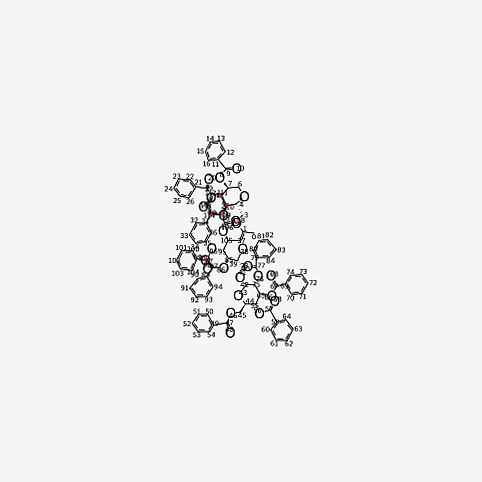 C/C(OC[C@H]1OC[C@H](OC(=O)c2ccccc2)[C@@H](OC(=O)c2ccccc2)[C@@H]1OC(=O)c1ccccc1)=C1\O[C@H](CO[C@@H]2O[C@H](COC(=O)c3ccccc3)[C@@H](OC(=O)c3ccccc3)[C@H](OC(=O)c3ccccc3)[C@H]2OC(=O)c2ccccc2)[C@@H](OC(=O)c2ccccc2)[C@H](OC(=O)c2ccccc2)[C@H]1OC(=O)c1ccccc1